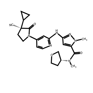 CN(C(=O)c1cc(Nc2cc(N3CC[C@@](C#N)(C4CC4)C3=O)ccn2)nn1C)[C@@H]1CCOC1